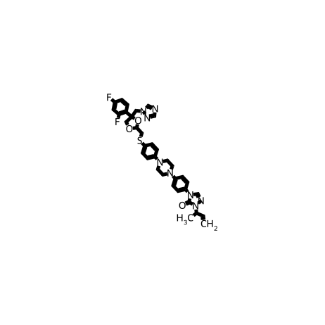 C=CC(C)n1ncn(-c2ccc(N3CCN(c4ccc(SCC5OCC(Cn6cncn6)(c6ccc(F)cc6F)O5)cc4)CC3)cc2)c1=O